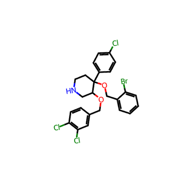 Clc1ccc(C2(OCc3ccccc3Br)CCNCC2OCc2ccc(Cl)c(Cl)c2)cc1